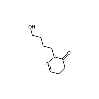 O=C1CCC=NN1CCCCO